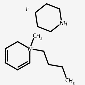 C1CCNCC1.CCCC[N+]1(C)C=CC=CC1.[I-]